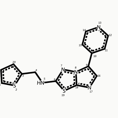 c1csc(CNc2nn3c(-c4ccncc4)cnc3s2)c1